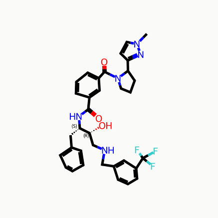 Cn1ccc(C2CCCN2C(=O)c2cccc(C(=O)N[C@@H](Cc3ccccc3)[C@H](O)CNCc3cccc(C(F)(F)F)c3)c2)n1